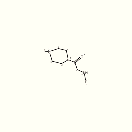 CN1CCN(C(=O)CNF)CC1